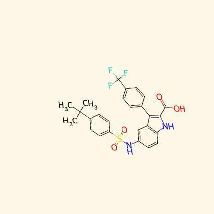 CC(C)(C)c1ccc(S(=O)(=O)Nc2ccc3[nH]c(C(=O)O)c(-c4ccc(C(F)(F)F)cc4)c3c2)cc1